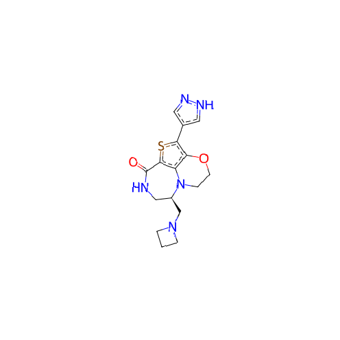 O=C1NC[C@H](CN2CCC2)N2CCOc3c(-c4cn[nH]c4)sc1c32